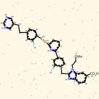 COCCn1c(Cc2ccc(-c3cccc(OCc4ccc(CCc5cncnc5)cc4F)n3)cc2F)nc2ccc(C(=O)O)cc21